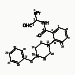 CCCC(C=O)NC(=O)c1cccnc1N1CCN(Cc2ccccc2)CC1